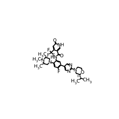 CC(C)[C@H]1CN(c2ncc(-c3cc(NC(=O)c4c[nH]c(=O)cc4C(F)(F)F)c(N4C[C@@H](C)N(C)[C@@H](C)C4)cc3F)cn2)CCO1